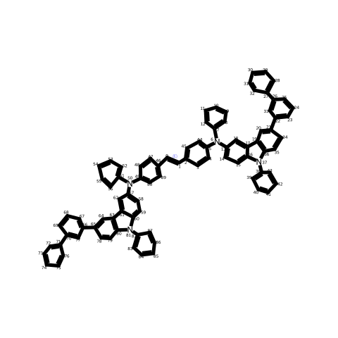 C(=C\c1ccc(N(c2ccccc2)c2ccc3c(c2)c2cc(-c4cccc(-c5ccccc5)c4)ccc2n3-c2ccccc2)cc1)/c1ccc(N(c2ccccc2)c2ccc3c(c2)c2cc(-c4cccc(-c5ccccc5)c4)ccc2n3-c2ccccc2)cc1